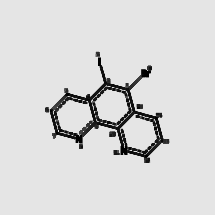 Brc1c(I)c2cccnc2c2ncccc12